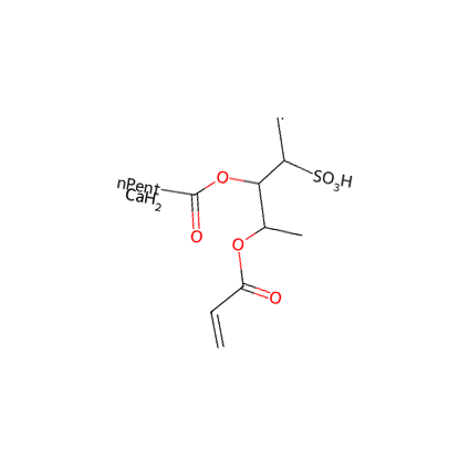 [CH2]C(C(OC(=O)CCCCC)C(C)OC(=O)C=C)S(=O)(=O)O.[CaH2]